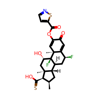 C[C@@H]1C[C@H]2[C@@H]3C[C@H](F)C4=CC(=O)C(OC(=O)c5ccns5)=C[C@]4(C)[C@@]3(F)[C@@H](O)C[C@]2(C)[C@@H]1C(O)=S